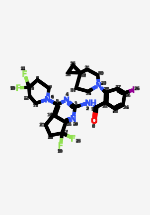 O=C(Nc1nc(N2CCC(F)(F)CC2)c2c(n1)C(F)(F)CC2)c1ccc(I)cc1N1CCC2(CC1)CC2